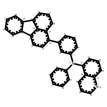 c1ccc(N(c2cccc(-c3ccc4c5c(cccc35)-c3ccccc3-4)c2)c2cccc3ncccc23)cc1